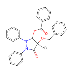 CCCCC1(OCc2ccccc2)C(=O)N(c2ccccc2)N(c2ccccc2)C1OC(=O)c1ccccc1